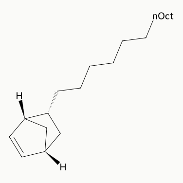 CCCCCCCCCCCCCC[C@@H]1C[C@@H]2C=C[C@H]1C2